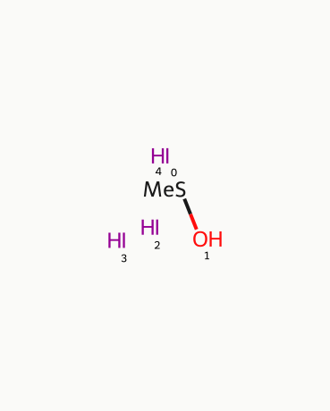 CSO.I.I.I